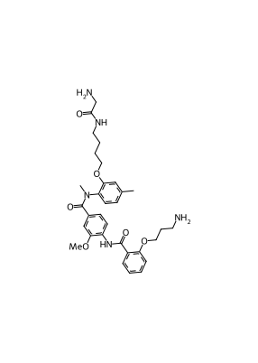 COc1cc(C(=O)N(C)c2ccc(C)cc2OCCCCNC(=O)CN)ccc1NC(=O)c1ccccc1OCCCN